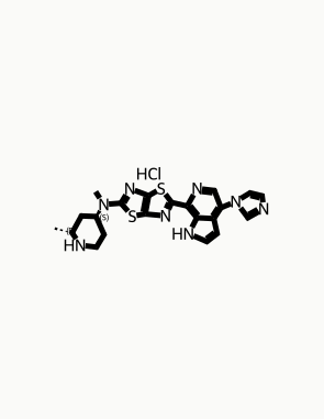 C[C@@H]1C[C@@H](N(C)c2nc3sc(-c4ncc(-n5ccnc5)c5cc[nH]c45)nc3s2)CCN1.Cl